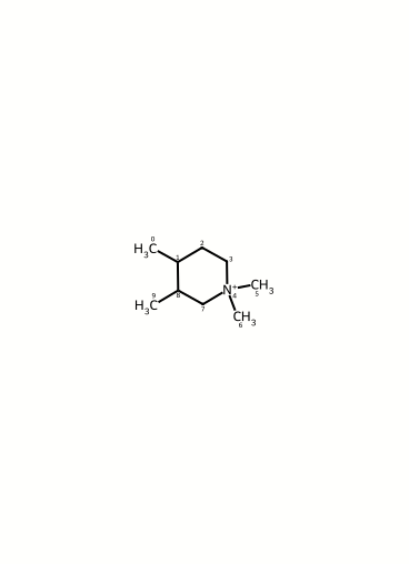 CC1CC[N+](C)(C)CC1C